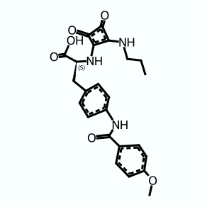 CCCNc1c(N[C@@H](Cc2ccc(NC(=O)c3ccc(OC)cc3)cc2)C(=O)O)c(=O)c1=O